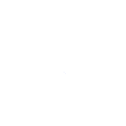 CC1CC=CCN[SH]1C